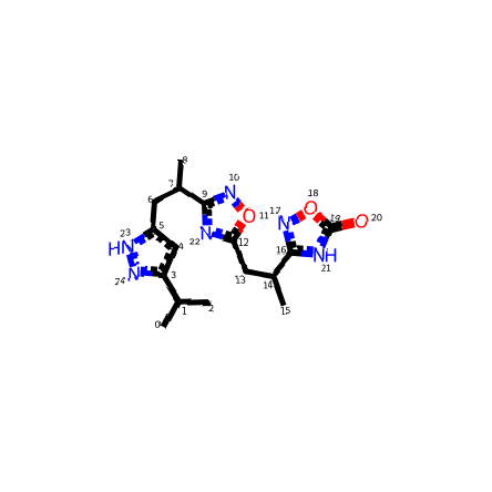 CC(C)c1cc(CC(C)c2noc(CC(C)c3noc(=O)[nH]3)n2)[nH]n1